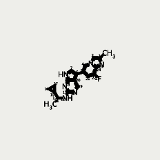 Cc1cn2cc(-c3c[nH]c4nc(N[C@H](C)C5CC5)ncc34)cc(F)c2n1